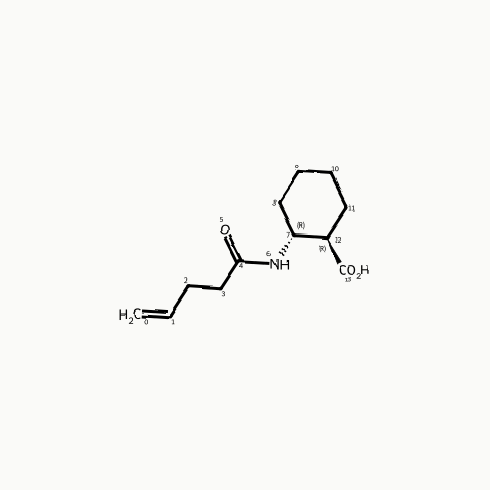 C=CCCC(=O)N[C@@H]1CCCC[C@H]1C(=O)O